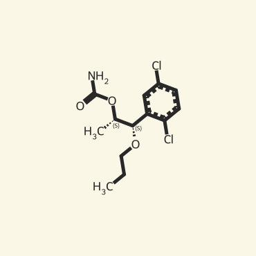 CCCO[C@@H](c1cc(Cl)ccc1Cl)[C@H](C)OC(N)=O